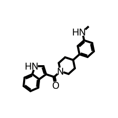 CNc1cccc(C2CCN(C(=O)c3c[nH]c4ccccc34)CC2)c1